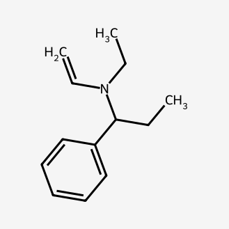 C=CN(CC)C(CC)c1ccccc1